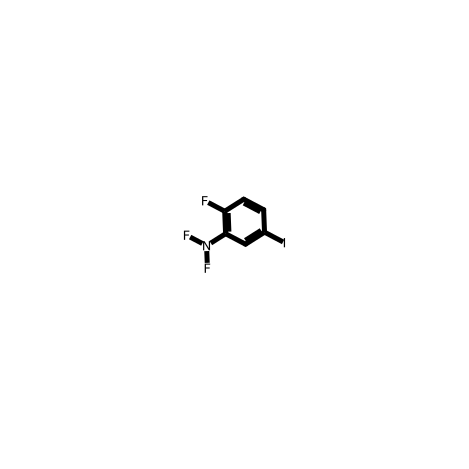 Fc1ccc(I)cc1N(F)F